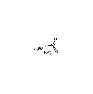 O=[N+]([O-])[O-].[NH4+].[PbH2]